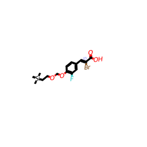 C[Si](C)(C)CCOCOc1ccc(/C=C(\Br)C(=O)O)cc1F